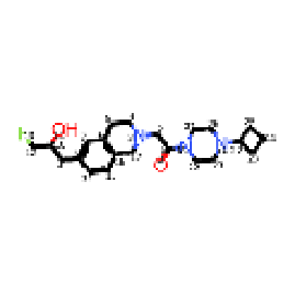 O=C(CN1CCc2cc(CC(O)CF)ccc2C1)N1CCN(C2CCC2)CC1